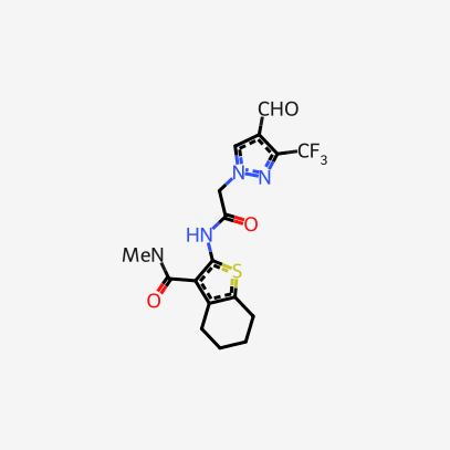 CNC(=O)c1c(NC(=O)Cn2cc(C=O)c(C(F)(F)F)n2)sc2c1CCCC2